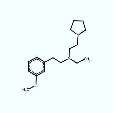 CCN(CCc1cccc(OC)c1)CCN1CCCC1